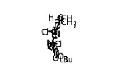 CC(C)(C)OC(=O)N1CCC2(CCn3nc(-c4cnc5c(c4)c(Cl)cn5COCC[Si](C)(C)C)c(Cl)c32)C1